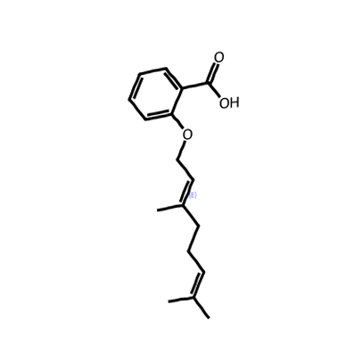 CC(C)=CCC/C(C)=C/COc1ccccc1C(=O)O